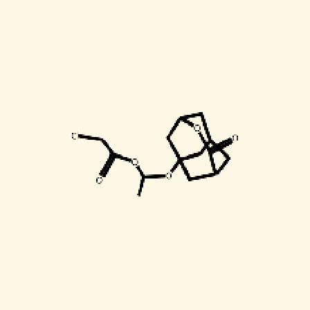 CC(OC(=O)CCl)OC12CC3CC(C1)OC(=O)C(C3)C2